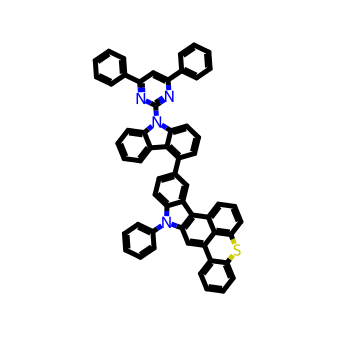 c1ccc(-c2cc(-c3ccccc3)nc(-n3c4ccccc4c4c(-c5ccc6c(c5)c5c7cccc8c7c(cc5n6-c5ccccc5)-c5ccccc5S8)cccc43)n2)cc1